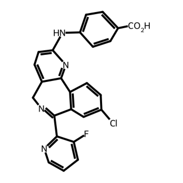 O=C(O)c1ccc(Nc2ccc3c(n2)-c2ccc(Cl)cc2C(c2ncccc2F)=NC3)cc1